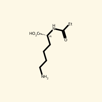 CCC(=O)N[C@H](CCCCN)C(=O)O